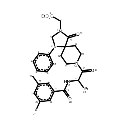 CCOC(=O)CN1CN(c2ccccc2)C2(CCN(C(=O)C(NC(=O)c3cc(C)cc(F)c3)C(C)C)CC2)C1=O